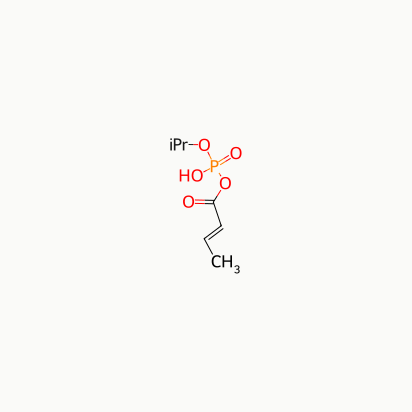 CC=CC(=O)OP(=O)(O)OC(C)C